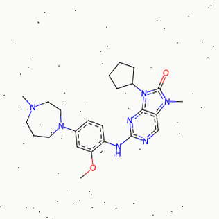 COc1cc(N2CCCN(C)CC2)ccc1Nc1ncc2c(n1)n(C1CCCC1)c(=O)n2C